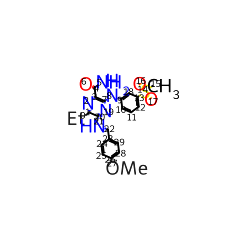 CCc1nc(C(N)=O)c(Nc2cccc(S(C)(=O)=O)c2)nc1NCc1ccc(OC)cc1